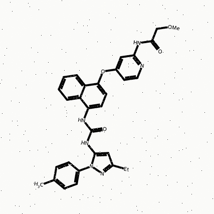 CCc1cc(NC(=O)Nc2ccc(Oc3ccnc(NC(=O)COC)c3)c3ccccc23)n(-c2ccc(C)cc2)n1